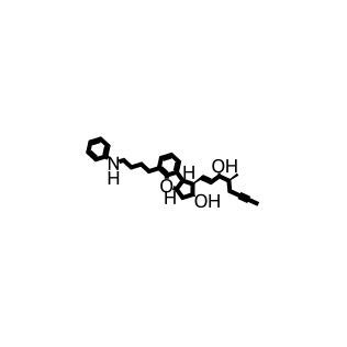 CC#CC[C@H](C)[C@H](O)/C=C/[C@@H]1[C@H]2c3cccc(CCCCNc4ccccc4)c3O[C@H]2C[C@H]1O